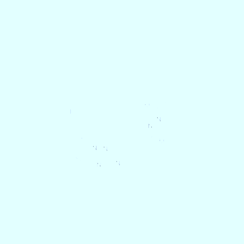 O=C(NNC(=O)c1cccc2ccccc12)c1ccc(Nc2nc(-c3ccccc3)n(-c3ccc(F)cc3)n2)cc1